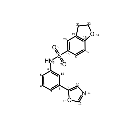 O=S(=O)(Nc1cccc(-c2cnco2)c1)c1ccc2c(c1)CCO2